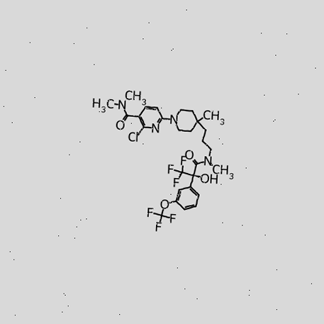 CN(C)C(=O)c1ccc(N2CCC(C)(CCCN(C)C(=O)[C@](O)(c3cccc(OC(F)(F)F)c3)C(F)(F)F)CC2)nc1Cl